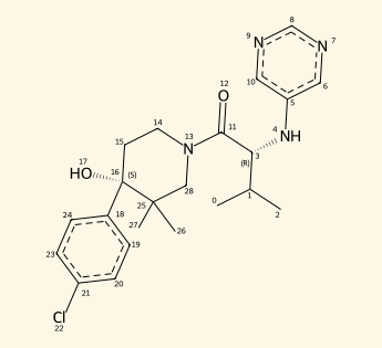 CC(C)[C@@H](Nc1cncnc1)C(=O)N1CC[C@](O)(c2ccc(Cl)cc2)C(C)(C)C1